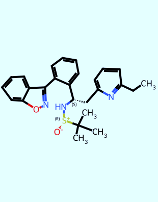 CCc1cccc(C[C@H](N[S@@+]([O-])C(C)(C)C)c2ccccc2-c2noc3ccccc23)n1